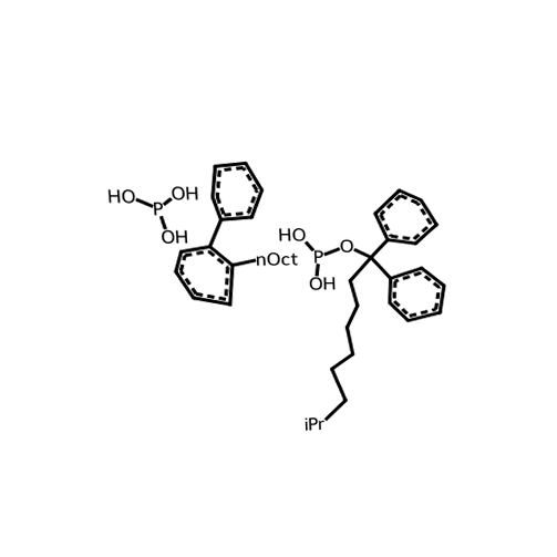 CC(C)CCCCCCC(OP(O)O)(c1ccccc1)c1ccccc1.CCCCCCCCc1ccccc1-c1ccccc1.OP(O)O